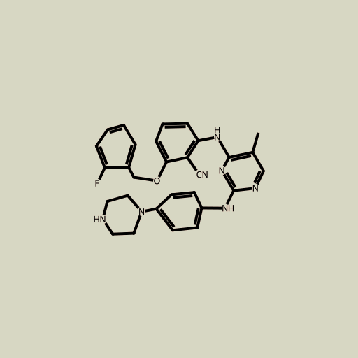 Cc1cnc(Nc2ccc(N3CCNCC3)cc2)nc1Nc1cccc(OCc2ccccc2F)c1C#N